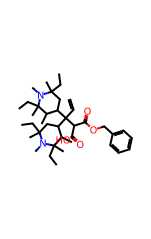 C=CC(C(C(=O)O)C(=O)OCc1ccccc1)(C1CC(C)(CC)N(C)C(C)(CC)C1C)C1CC(C)(CC)N(C)C(C)(CC)C1C